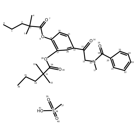 CCCC(C)(C)C(=O)Oc1ccc(C(=O)CN(C)C(=O)c2ccccc2)cc1OC(=O)C(C)(C)CCC.CS(=O)(=O)O